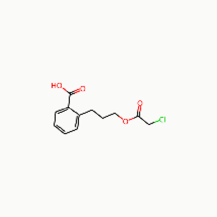 O=C(CCl)OCCCc1ccccc1C(=O)O